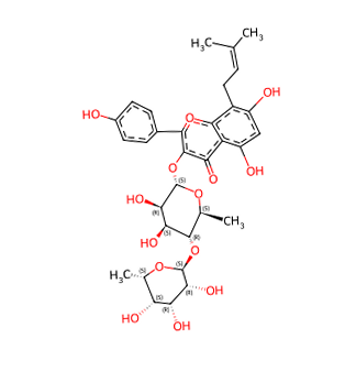 CC(C)=CCc1c(O)cc(O)c2c(=O)c(O[C@@H]3O[C@@H](C)[C@H](O[C@@H]4O[C@@H](C)[C@@H](O)[C@@H](O)[C@H]4O)[C@@H](O)[C@H]3O)c(-c3ccc(O)cc3)oc12